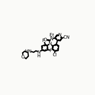 CCN1C(=O)N(c2c(F)cc(NCCNC3CCOCC3)cc2F)c2cc(Cl)ccc2-c2cc(C#N)ncc21